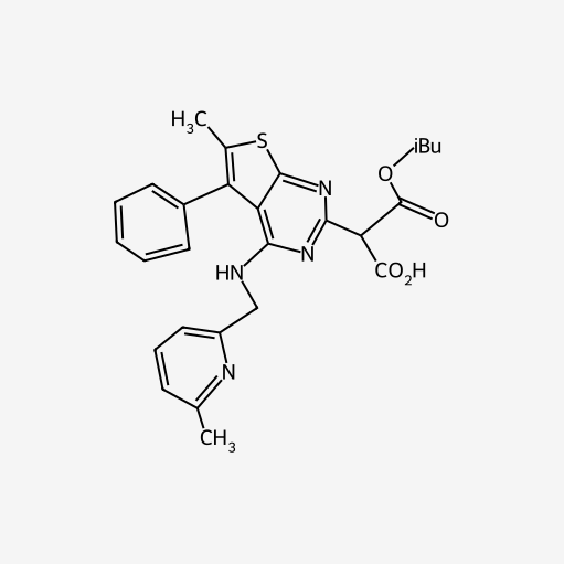 CCC(C)OC(=O)C(C(=O)O)c1nc(NCc2cccc(C)n2)c2c(-c3ccccc3)c(C)sc2n1